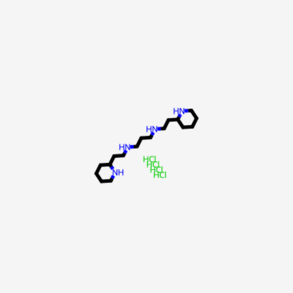 C(CNCCC1CCCCN1)CNCCC1CCCCN1.Cl.Cl.Cl.Cl